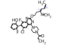 C=CC(=O)N1CCN(c2nc(OCC/C(=C/C=C\C)N=C)nc3c(F)c(-c4c(O)cccc4F)c(Cl)cc23)CC1